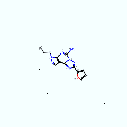 CC(C)CCn1ncc2c1nc(N)n1nc(-c3ccco3)nc21